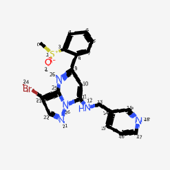 C[S+]([O-])c1ccccc1-c1cc(NCc2cccnc2)n2ncc(Br)c2n1